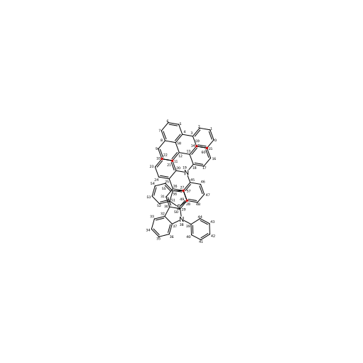 c1ccc(-c2cccc3cccc(-c4ccccc4N(c4ccccc4-c4ccc5c(c4)c4ccccc4n5-c4ccccc4)c4cccc5sc6ccccc6c45)c23)cc1